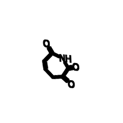 O=C1C=CCC(=O)C(=O)N1